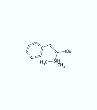 C[SiH](C)C(=Cc1ccccc1)C(C)(C)C